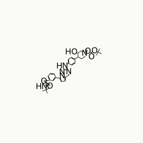 CC(C)(C)NS(=O)(=O)c1cccc(-c2ccc3cnc(Nc4ccc(C5CCN(OC(=O)OC(C)(C)C)CC5O)cc4)nn23)c1